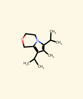 Cc1c(C(C)C)c2n(c1C(C)C)CCOC2